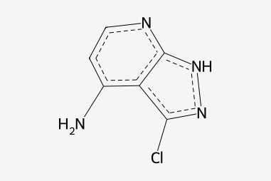 Nc1ccnc2[nH]nc(Cl)c12